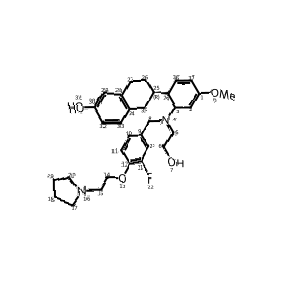 COC1=CC(N(CCO)Cc2ccc(OCCN3CCCC3)c(F)c2)C([C@@H]2CCc3cc(O)ccc3C2)C=C1